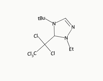 CCN1N=CN(C(C)(C)C)C1C(Cl)(Cl)C(Cl)(Cl)Cl